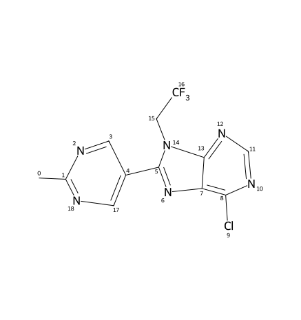 Cc1ncc(-c2nc3c(Cl)ncnc3n2CC(F)(F)F)cn1